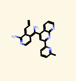 C=C/C=c1/c(N)ncc/c1=C(/N)c1cc(-c2cccc(C)n2)nc2ncccc12